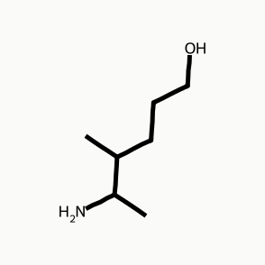 CC(N)C(C)CCCO